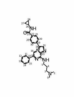 CN(C)CCCNc1nc(-c2ccccc2)cn2c(-c3ccc(C(=O)NC4CC4)cc3)cnc12